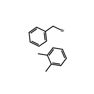 BrCc1ccccc1.Cc1ccccc1C